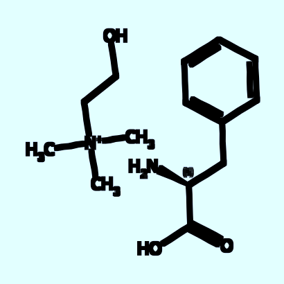 C[N+](C)(C)CCO.N[C@@H](Cc1ccccc1)C(=O)O